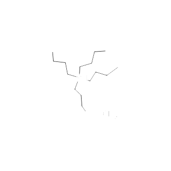 C.CCCC[PH](CCCC)(CCCC)CCCC